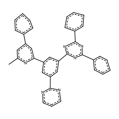 Cc1cc(-c2ccccc2)cc(-c2cc(-c3ncccn3)cc(-c3nc(-c4ccccc4)nc(-c4ccccc4)n3)c2)n1